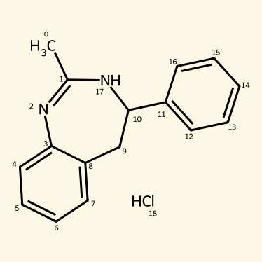 CC1=Nc2ccccc2CC(c2ccccc2)N1.Cl